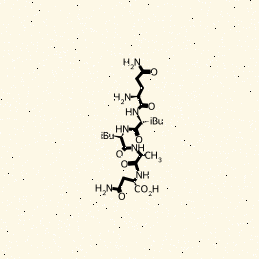 CC[C@H](C)[C@H](NC(=O)[C@@H](NC(=O)[C@@H](N)CCC(N)=O)[C@@H](C)CC)C(=O)N[C@@H](C)C(=O)N[C@@H](CC(N)=O)C(=O)O